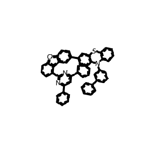 c1ccc(-c2cccc(N3c4ccccc4Sc4cc(-c5ccc6oc7cccc(-c8nc(-c9ccccc9)cc(-c9ccccc9)n8)c7c6c5)ccc43)c2)cc1